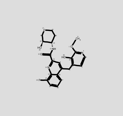 COc1nccc(Cc2cc(C(=O)N[C@H]3CCOC[C@@H]3O)nc3c(F)cccc23)c1O